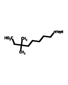 CCCCCCCCCCCCC(C)(C)[CH]C(=O)O